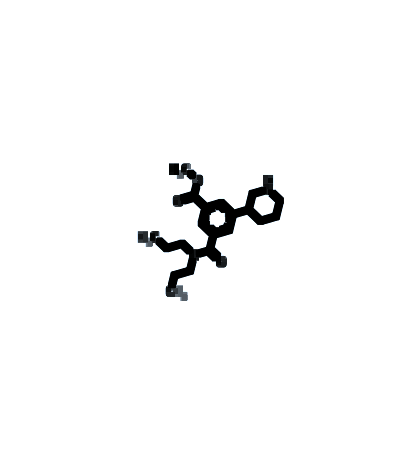 CCCN(CCC)C(=O)c1cc(C(=O)OC)cc(C2CCCNC2)c1